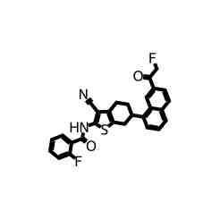 N#Cc1c(NC(=O)c2ccccc2F)sc2c1CCC(c1cccc3ccc(C(=O)CF)cc13)C2